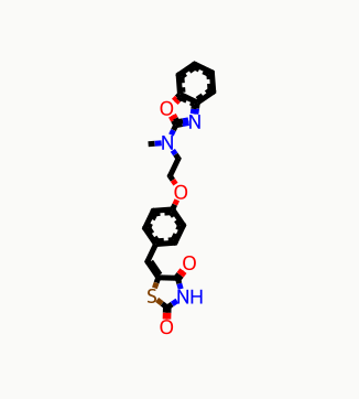 CN(CCOc1ccc(/C=C2/SC(=O)NC2=O)cc1)c1nc2ccccc2o1